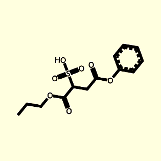 CCCOC(=O)C(CC(=O)Oc1ccccc1)S(=O)(=O)O